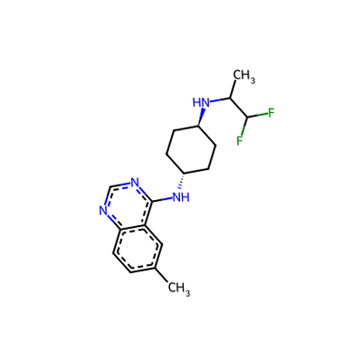 Cc1ccc2ncnc(N[C@H]3CC[C@H](NC(C)C(F)F)CC3)c2c1